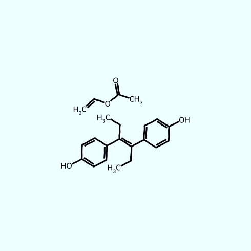 C=COC(C)=O.CC/C(=C(/CC)c1ccc(O)cc1)c1ccc(O)cc1